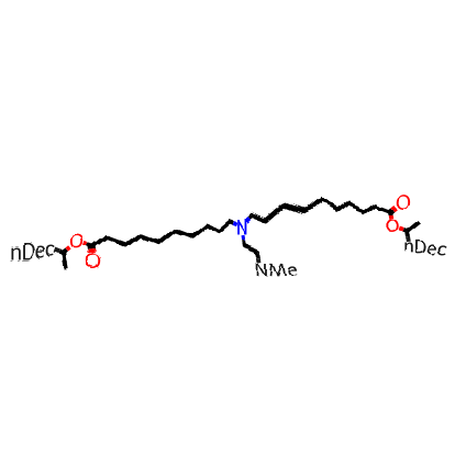 CCCCCCCCCCC(C)OC(=O)CCCCCCCCCN(CCCCCCCCCC(=O)OC(C)CCCCCCCCCC)CCNC